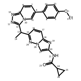 CCOc1ccc(-c2ccc3nnc(C(C)c4ccc5nc(NC(=O)C6CC6)cn5n4)n3c2)cc1